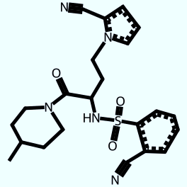 CC1CCN(C(=O)C(CCn2cccc2C#N)NS(=O)(=O)c2ccccc2C#N)CC1